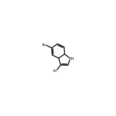 CC(=O)C1=CNC2C=CC(Br)=CC12